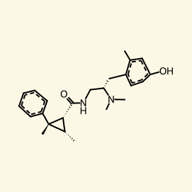 Cc1cc(O)ccc1C[C@@H](CNC(=O)[C@@H]1[C@H](C)[C@]1(C)c1ccccc1)N(C)C